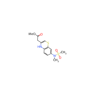 COC(=O)CC1=CSc2cc(N(C)S(C)(=O)=O)ccc2N1